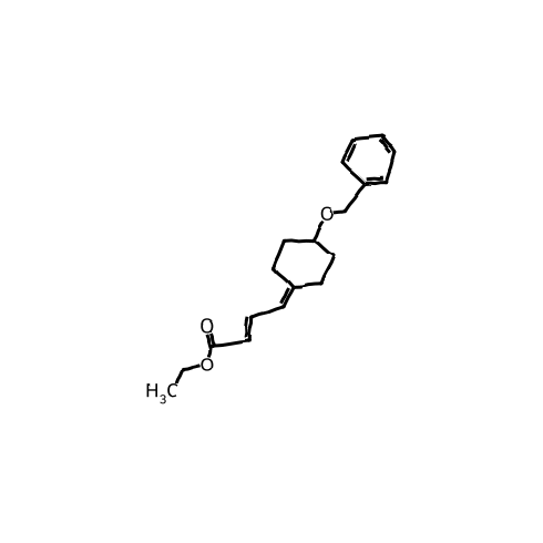 CCOC(=O)/C=C/C=C1CCC(OCc2ccccc2)CC1